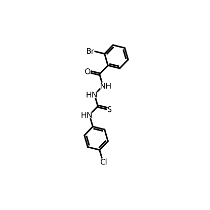 O=C(NNC(=S)Nc1ccc(Cl)cc1)c1ccccc1Br